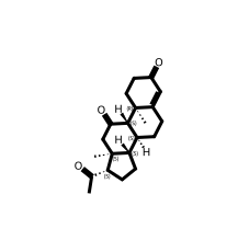 CC(=O)[C@H]1CC[C@H]2[C@@H]3CCC4=CC(=O)CC[C@]4(C)[C@H]3C(=O)C[C@]12C